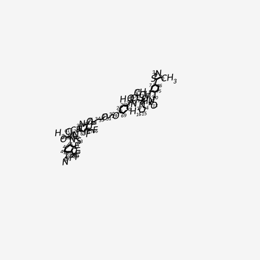 Cc1ncsc1-c1ccc(CNC(=O)[C@@H]2CCCN2C(=O)[C@@H](NC(=O)c2ccc(OCCOCCCOc3ncc(N4C(=S)N(c5ccc(C#N)c(C(F)(F)F)c5F)C(=O)C4(C)C)cc3C(F)(F)F)cc2)C(C)(C)C)cc1